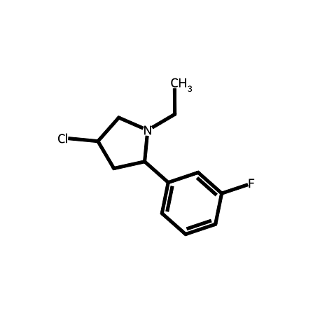 CCN1CC(Cl)CC1c1cccc(F)c1